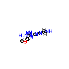 Nc1ncnc2c1c(-c1ccc(Oc3ccccc3)cc1)nn2C1CCN(C2CN(C3C[C@H]4CNC[C@H]4C3)C2)CC1